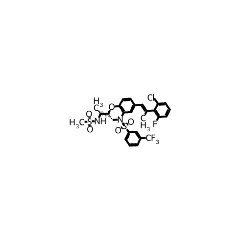 CC(=Cc1ccc2c(c1)N(S(=O)(=O)c1cccc(C(F)(F)F)c1)C[C@H]([C@@H](C)NS(C)(=O)=O)O2)c1c(F)cccc1Cl